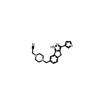 N#CCN1CCN(Cc2ccc3c(c2)-c2[nH]nc(-c4ccsc4)c2C3)CC1